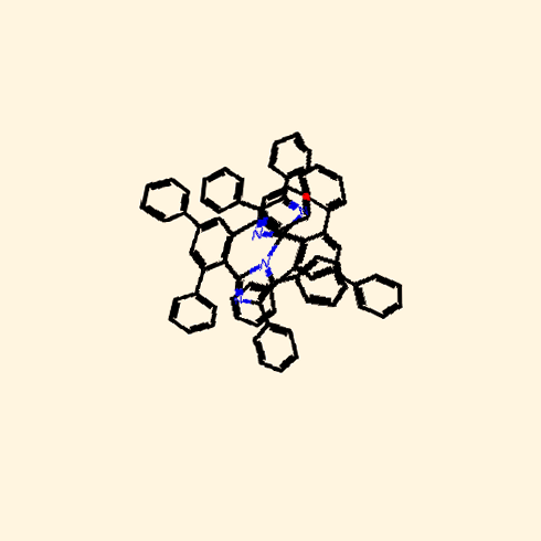 c1ccc(C2=NC(c3c(-c4ccccc4)cc(-c4ccccc4)cc3-c3ccccc3)(n3c(-c4c(-c5ccccc5)cc(-c5ccccc5)cc4-c4ccccc4)nc(-c4ccccc4)c3-c3ccccc3)N=C2c2ccccc2)cc1